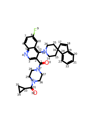 O=C(c1cnc2ccc(F)cc2c1N1CCC2(C=Cc3ccccc32)CC1)N1CCN(C(=O)C2CC2)CC1